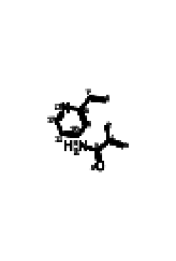 C=C(C)C(N)=O.C=Cc1ccccn1